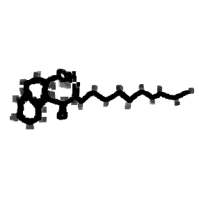 CCCCCCCCCCNC(=O)c1c(O)ccc2ccccc12